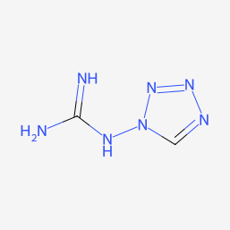 N=C(N)Nn1cnnn1